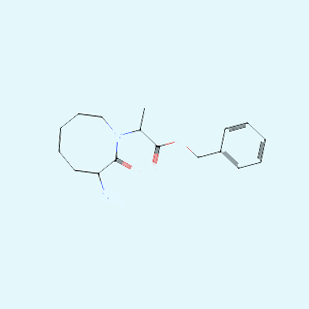 CC(C(=O)OCc1ccccc1)N1CCCCCC(N)C1=O